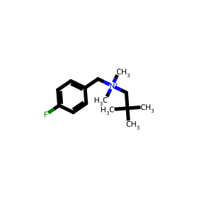 CC(C)(C)C[N+](C)(C)Cc1ccc(F)cc1